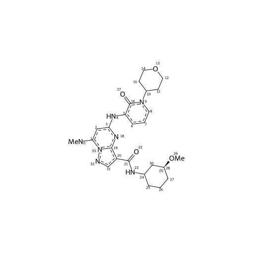 CNc1cc(Nc2cccn(C3CCOCC3)c2=O)nc2c(C(=O)NC3CCC[C@H](OC)C3)cnn12